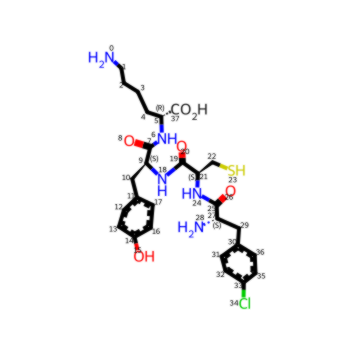 NCCCC[C@@H](NC(=O)[C@H](Cc1ccc(O)cc1)NC(=O)[C@@H](CS)NC(=O)[C@@H](N)Cc1ccc(Cl)cc1)C(=O)O